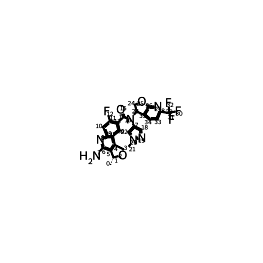 C[C@H]1OCc2c1c(N)nc1cc(F)c(C(=O)N(c3cnn(C)c3)C3COc4nc(C(F)(F)F)ccc43)cc21